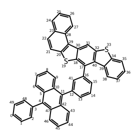 c1ccc(-c2c3ccccc3c(-c3cccc(-c4c5sc6ccc7ccccc7c6c5cc5sc6ccccc6c45)c3)c3ccccc23)cc1